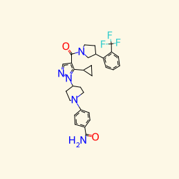 NC(=O)c1ccc(N2CCC(n3ncc(C(=O)N4CCC(c5ccccc5C(F)(F)F)C4)c3C3CC3)CC2)cc1